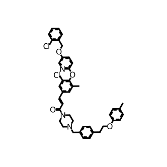 Cc1ccc(OCCc2ccc(CN3CCN(C(=O)C=Cc4cc(C)c(Oc5ccc(OCc6ccccc6Cl)cn5)c(Cl)c4)CC3)cc2)cc1